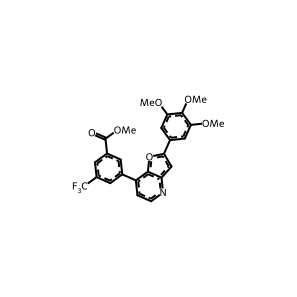 COC(=O)c1cc(-c2ccnc3cc(-c4cc(OC)c(OC)c(OC)c4)oc23)cc(C(F)(F)F)c1